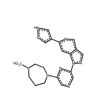 O=C(O)N1CCCN(c2cncc(-n3ncc4cnc(-c5cn[nH]c5)cc43)n2)CC1